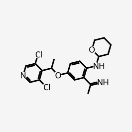 CC(=N)c1cc(OC(C)c2c(Cl)cncc2Cl)ccc1NC1CCCCO1